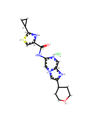 Cl.O=C(Nc1cn2cc(C3CCOCC3)nc2cn1)c1csc(C2CC2)n1